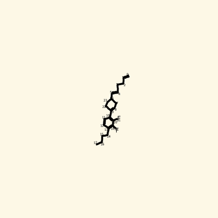 C=CCC/C=C/C1CC=C(c2ccc(CCCC)c(F)c2F)CC1